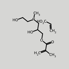 C=C(C)C(=O)OCC(O)CN(C)CCO.C=CC(=O)O